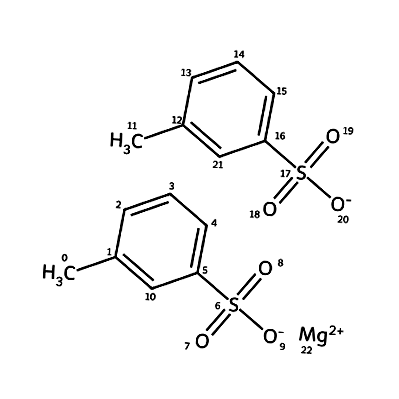 Cc1cccc(S(=O)(=O)[O-])c1.Cc1cccc(S(=O)(=O)[O-])c1.[Mg+2]